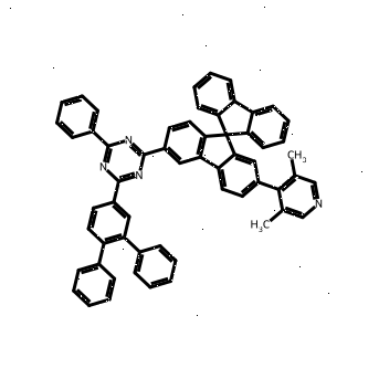 Cc1cncc(C)c1-c1ccc2c(c1)C1(c3ccccc3-c3ccccc31)c1ccc(-c3nc(-c4ccccc4)nc(-c4ccc(-c5ccccc5)c(-c5ccccc5)c4)n3)cc1-2